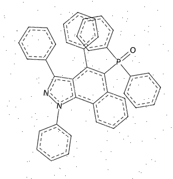 O=P(c1ccccc1)(c1ccccc1)c1c(-c2ccccc2)c2c(-c3ccccc3)nn(-c3ccccc3)c2c2ccccc12